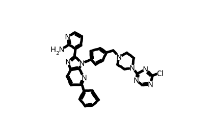 Nc1ncccc1-c1nc2ccc(-c3ccccc3)nc2n1-c1ccc(CN2CCN(c3ncnc(Cl)n3)CC2)cc1